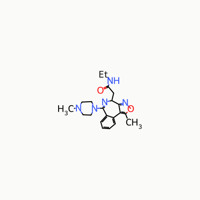 CCNC(=O)CC1N=C(N2CCN(C)CC2)c2ccccc2-c2c1noc2C